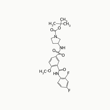 COc1ccc(S(=O)(=O)NC2CCN(C(=O)OC(C)(C)C)C2)cc1C(=O)Nc1ccc(F)cc1F